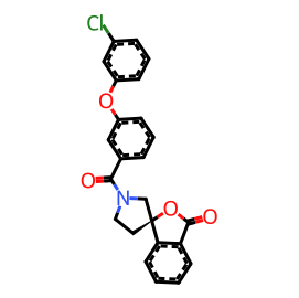 O=C1O[C@]2(CCN(C(=O)c3cccc(Oc4cccc(Cl)c4)c3)C2)c2ccccc21